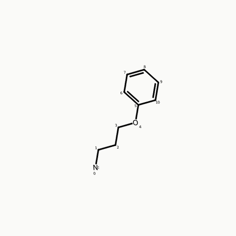 [N]CCCOc1ccccc1